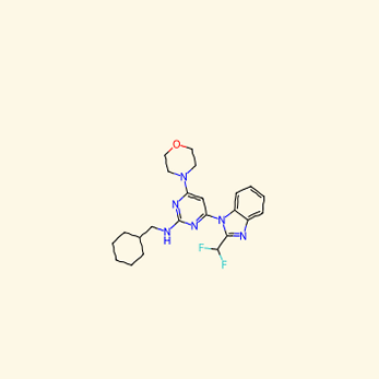 FC(F)c1nc2ccccc2n1-c1cc(N2CCOCC2)nc(NCC2CCCCC2)n1